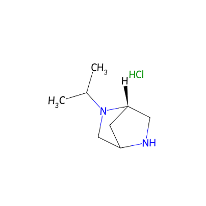 CC(C)N1CC2C[C@H]1CN2.Cl